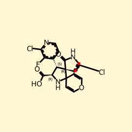 O=C(O)[C@@H]1NC2(C=COC=C2)[C@@]2(C(=O)Nc3cc(Cl)ccc32)[C@H]1c1ccnc(Cl)c1F